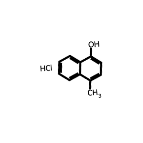 Cc1ccc(O)c2ccccc12.Cl